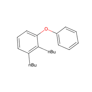 CCCCc1cccc(Oc2ccccc2)c1CCCC